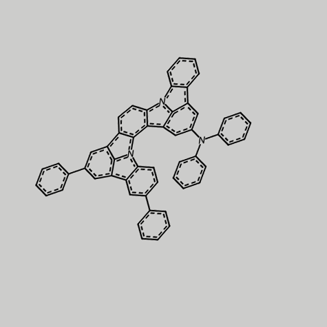 c1ccc(-c2ccc3c(c2)c2cc(-c4ccccc4)cc4c5ccc6c(c7cc(N(c8ccccc8)c8ccccc8)cc8c9ccccc9n6c87)c5n3c24)cc1